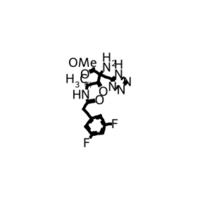 COC(=O)C(N)(C(=O)[C@H](C)NC(=O)Cc1cc(F)cc(F)c1)c1nnn[nH]1